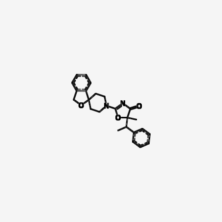 CC(c1ccccc1)C1(C)OC(N2CCC3(CC2)OCc2ccccc23)=NC1=O